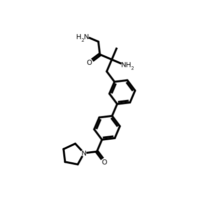 CC(N)(Cc1cccc(-c2ccc(C(=O)N3CCCC3)cc2)c1)C(=O)CN